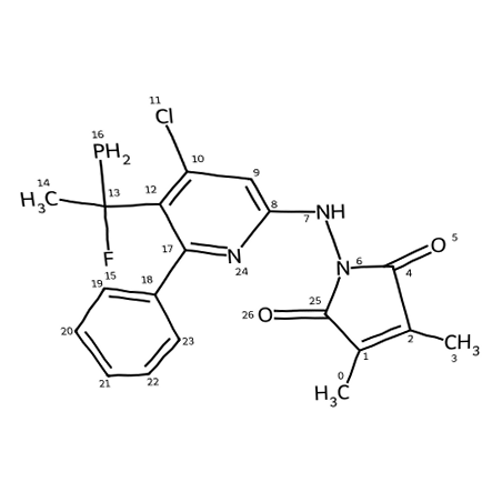 CC1=C(C)C(=O)N(Nc2cc(Cl)c(C(C)(F)P)c(-c3ccccc3)n2)C1=O